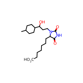 CC1CCC(C(O)CCN2C(=O)NC(=O)C2CCCCCCC(=O)O)CC1